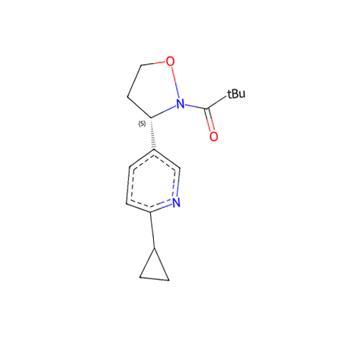 CC(C)(C)C(=O)N1OCC[C@H]1c1ccc(C2CC2)nc1